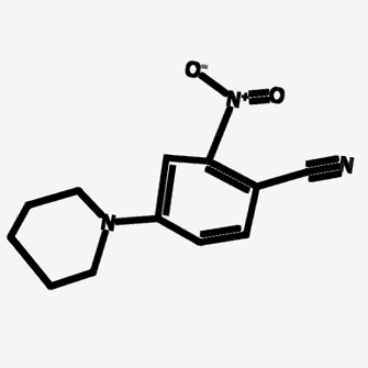 N#Cc1ccc(N2CCCCC2)cc1[N+](=O)[O-]